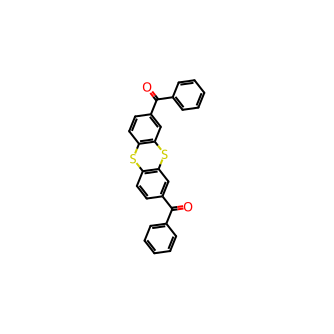 O=C(c1ccccc1)c1ccc2c(c1)Sc1cc(C(=O)c3ccccc3)ccc1S2